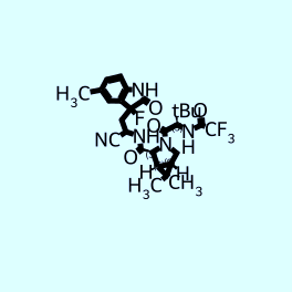 Cc1ccc2c(c1)C(F)(CC(C#N)NC(=O)[C@@H]1[C@H]3[C@H](CN1C(=O)[C@@H](NC(=O)C(F)(F)F)C(C)(C)C)C3(C)C)C(=O)N2